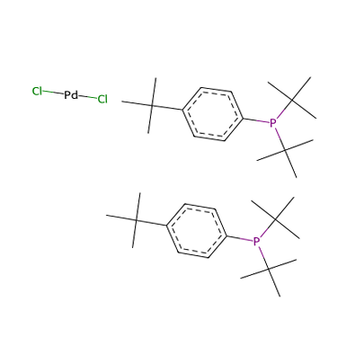 CC(C)(C)c1ccc(P(C(C)(C)C)C(C)(C)C)cc1.CC(C)(C)c1ccc(P(C(C)(C)C)C(C)(C)C)cc1.[Cl][Pd][Cl]